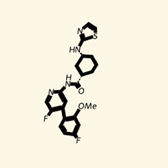 COc1cc(F)ccc1-c1cc(NC(=O)[C@H]2CCC[C@@H](Nc3nccs3)C2)ncc1F